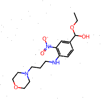 CCOC(O)c1ccc(NCCCN2CCOCC2)c([N+](=O)[O-])c1